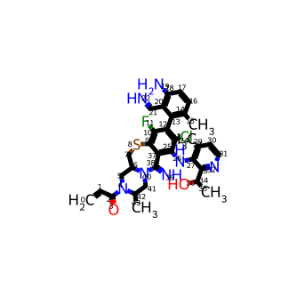 C=CC(=O)N1CC2CSc3c(F)c(-c4c(C)ccc(N)c4C=N)c(Cl)c(Nc4c(C)ccnc4C(C)O)c3C(=N)N2CC1C